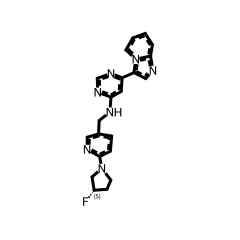 F[C@H]1CCN(c2ccc(CNc3cc(-c4cnc5ccccn45)ncn3)cn2)C1